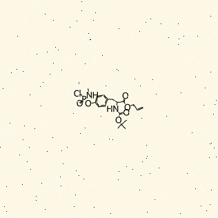 C=CCOC(=O)C(Cc1ccc(OP(=O)(Cl)NC)cc1)NC(=O)OC(C)(C)C